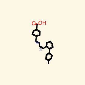 Cc1ccc(-c2ccccc2/C=C\C=C\c2ccc(C(=O)O)cc2)cc1